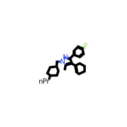 CCCC1CCC(Cn2nc(-c3ccc(F)cc3)c(C3=CCCCC3)c2C)CC1